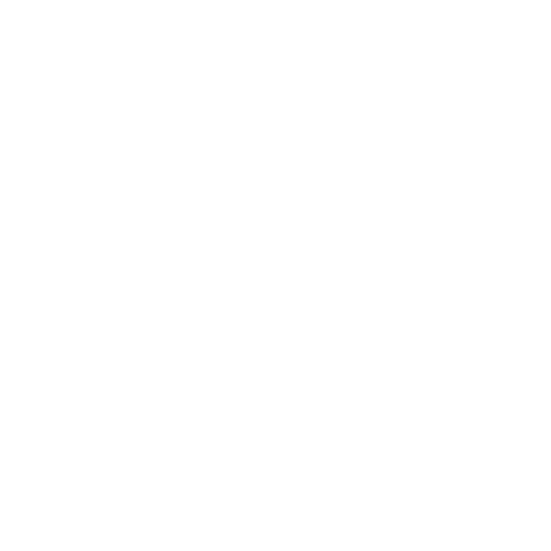 C.O=C(O)C(O)C(O)C(O)C(O)CO